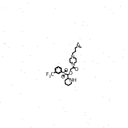 CN(C)CCCN1CCN(C(=O)COC(C2CCCCN2)S(=O)(=O)c2cccc(C(F)(F)F)c2)CC1